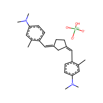 Cc1cc(N(C)C)ccc1C=C1CCC(=Cc2ccc(N(C)C)cc2C)C1.[O-][Cl+3]([O-])([O-])O